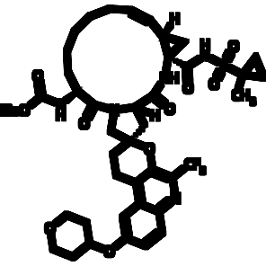 CC(C)COC(=O)N[C@H]1CCCCC/C=C\[C@@H]2C[C@@]2(C(=O)NS(=O)(=O)C2(C)CC2)NC(=O)[C@@H]2C[C@]3(CCc4c(c(C(F)(F)F)nc5ccc(OC6CCOCC6)cc45)O3)CN2C1=O